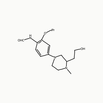 CC(C)Oc1cc(N2CCN(C)C(CCO)C2)ccc1NC=O